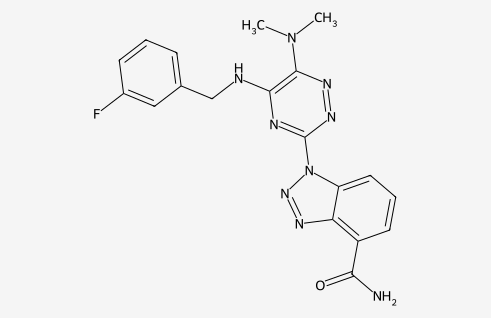 CN(C)c1nnc(-n2nnc3c(C(N)=O)cccc32)nc1NCc1cccc(F)c1